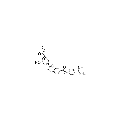 CCOC(=O)C#CCN(CC(=O)O)C(=O)C(C)=Cc1ccc(C(=O)Oc2ccc(C(=N)N)cc2)cc1